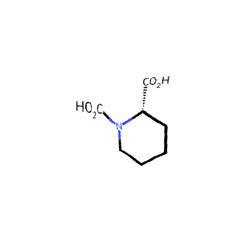 O=C(O)[C@@H]1CCCCN1C(=O)O